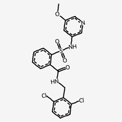 COc1cncc(NS(=O)(=O)c2ccccc2C(=O)NCc2c(Cl)cccc2Cl)c1